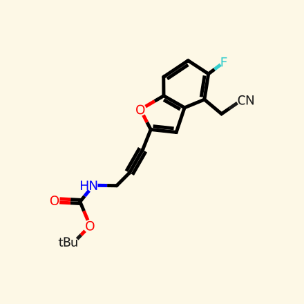 CC(C)(C)OC(=O)NCC#Cc1cc2c(CC#N)c(F)ccc2o1